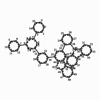 c1ccc(-c2nc(-c3ccccc3)nc(-c3cccc(-c4cc(-c5ccccc5-n5c6ccccc6c6ccccc65)cc5c4sc4ccccc45)c3)n2)cc1